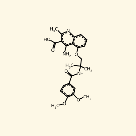 COc1ccc(C(=O)NC(C)(C)COc2cccc3nc(C)c(C(=O)O)c(N)c23)cc1OC